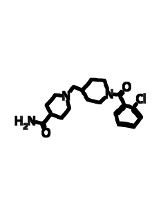 NC(=O)C1CCN(CC2CCN(C(=O)c3ccccc3Cl)CC2)CC1